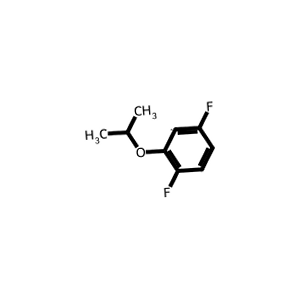 CC(C)Oc1[c]c(F)ccc1F